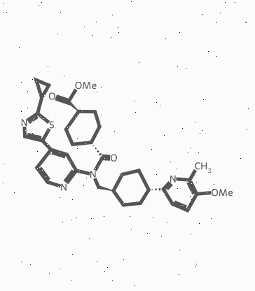 COc1ccc([C@H]2CC[C@H](CN(c3cc(-c4cnc(C5CC5)s4)ccn3)C(=O)[C@H]3CC[C@H](C(=O)OC)CC3)CC2)nc1C